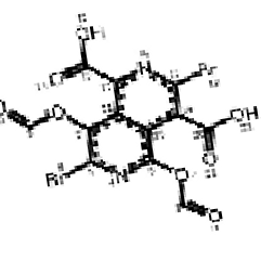 O=COc1nc(Br)c(OC=O)c2c(C(=O)O)nc(Br)c(C(=O)O)c12